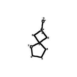 [O-][S+]1CC2(CCCO2)C1